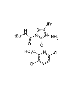 CC(C)c1nn(C(=O)NC(C)(C)C)c(=O)n1N.O=C(O)c1nc(Cl)ccc1Cl